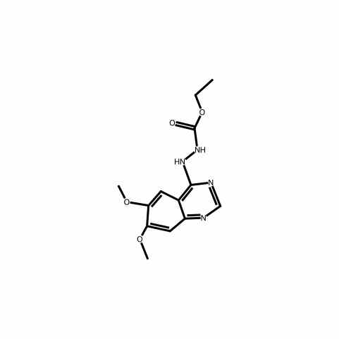 CCOC(=O)NNc1ncnc2cc(OC)c(OC)cc12